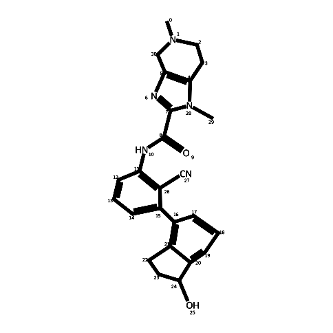 CN1CCc2c(nc(C(=O)Nc3cccc(-c4cccc5c4CCC5O)c3C#N)n2C)C1